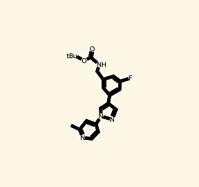 Cc1cc(-n2cc(-c3cc(F)cc(CNC(=O)OC(C)(C)C)c3)cn2)ccn1